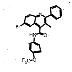 Cc1c(-c2ccccc2)nc2ccc(Br)cc2c1C(=O)Nc1[c]cc(OC(F)(F)F)cc1